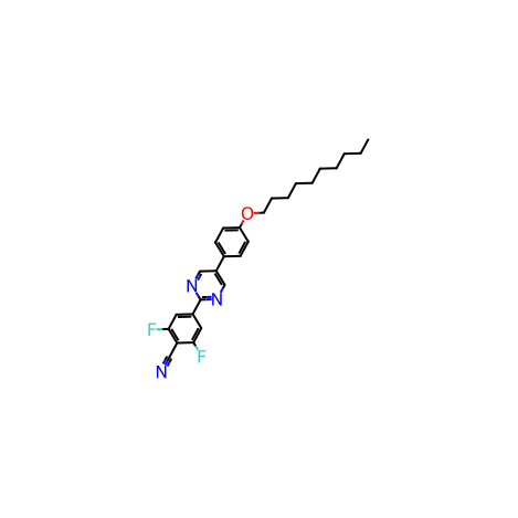 CCCCCCCCCCOc1ccc(-c2cnc(-c3cc(F)c(C#N)c(F)c3)nc2)cc1